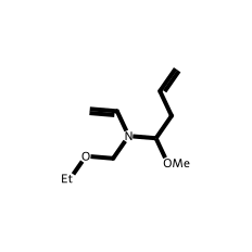 C=CCC(OC)N(C=C)COCC